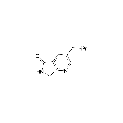 CC(C)Cc1cnc2c(c1)C(=O)NC2